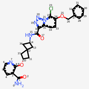 NC(=O)c1cccnc1O[C@H]1CC2(C[C@H](NC(=O)c3nnn4c(Cl)c(OCc5ccccc5)ccc34)C2)C1